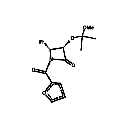 COC(C)(C)O[C@@H]1C(=O)N(C(=O)c2ccco2)[C@@H]1C(C)C